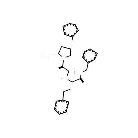 C[C@H](N[C@@H](CCc1ccccc1)C(=O)OCc1ccccc1)C(=O)N1C[C@@H](Sc2ccccc2)C[C@H]1C(=O)O